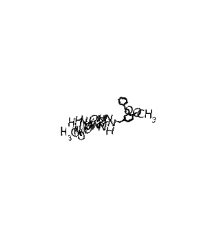 CNC(=O)[C@H]1O[C@@H](n2cnc3c(NCCc4ccc(OC)c(OCc5ccccc5)c4)ncnc32)[C@H](O)[C@@H]1N